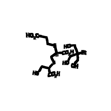 CCC(CO)(CO)CO.O=C(O)CCS[C@H](CSC(CS)C(=O)O)C(=O)O